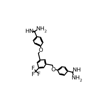 N=C(N)c1ccc(OCc2cc(COc3ccc(C(=N)N)cc3)cc(C(F)(F)F)c2)cc1